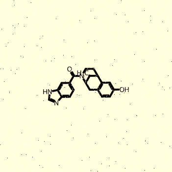 CC1C2CCN(C(=O)c3ccc4nc[nH]c4c3)C1Cc1ccc(O)cc12